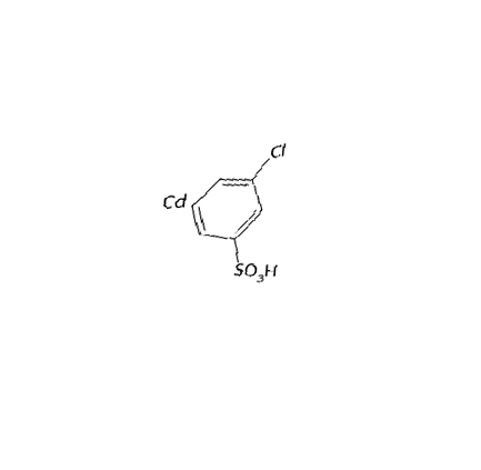 O=S(=O)(O)c1cccc(Cl)c1.[Cd]